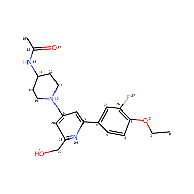 CCOc1ccc(-c2cc(N3CCC(NC(C)=O)CC3)cc(CO)n2)cc1F